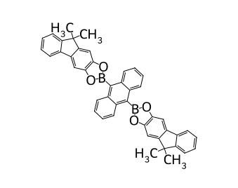 CC1(C)c2ccccc2-c2cc3c(cc21)OB(c1c2ccccc2c(B2Oc4cc5c(cc4O2)C(C)(C)c2ccccc2-5)c2ccccc12)O3